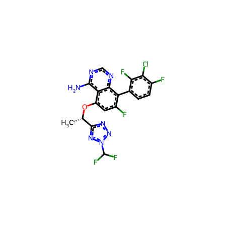 C[C@H](Oc1cc(F)c(-c2ccc(F)c(Cl)c2F)c2ncnc(N)c12)c1nnn(C(F)F)n1